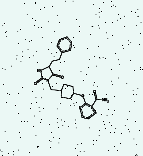 NC(=O)c1cccnc1OC1CCC(CN2C(=O)NC(CCc3ccccc3)C2=O)CC1